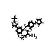 CC(C)(C)c1nnc(-c2ccc3c(c2)N(Cc2ccc(N4CCCC4)cc2)C(=O)[C@@H](N)CS3(=O)=O)o1